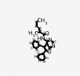 C/C=C\C=C(/C)C(=O)Nc1ncnc2oc(-c3ccccc3)c(-c3ccccc3)c12